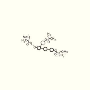 C=C(C)C(=O)OC1CCC(c2cc(OCCOC(=O)C(=C)COC)ccc2-c2ccc(-c3ccc(OC(=O)C(=C)COC)cc3)cc2)CC1